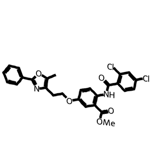 COC(=O)c1cc(OCCc2nc(-c3ccccc3)oc2C)ccc1NC(=O)c1ccc(Cl)cc1Cl